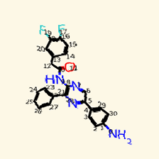 Nc1ccc(-c2cnc(NC(=O)Cc3ccc(F)c(F)c3)c(-c3ccccc3)n2)cc1